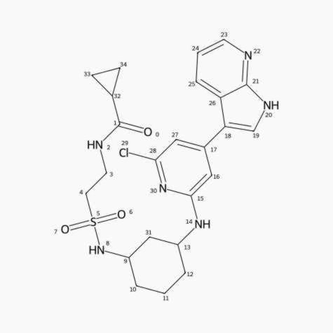 O=C(NCCS(=O)(=O)NC1CCCC(Nc2cc(-c3c[nH]c4ncccc34)cc(Cl)n2)C1)C1CC1